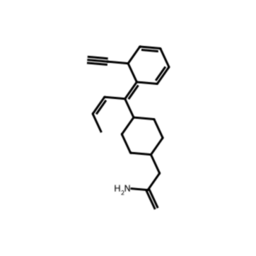 C#CC1C=CC=C/C1=C(/C=C\C)C1CCC(CC(=C)N)CC1